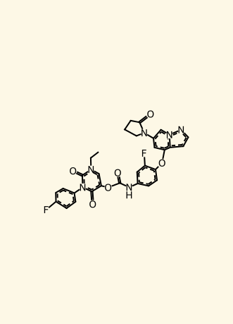 CCn1cc(OC(=O)Nc2ccc(Oc3cc(N4CCCC4=O)cn4nccc34)c(F)c2)c(=O)n(-c2ccc(F)cc2)c1=O